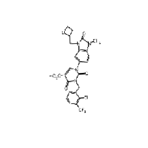 Cn1c(=O)n(CC2CCO2)c2cc(-n3cc(C(=O)O)c(=O)n(Cc4cccc(C(F)(F)F)c4Cl)c3=O)ccc21